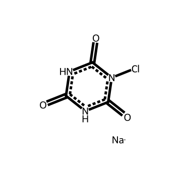 O=c1[nH]c(=O)n(Cl)c(=O)[nH]1.[Na]